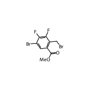 COC(=O)c1cc(Br)c(F)c(F)c1CBr